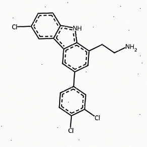 NCCc1cc(-c2ccc(Cl)c(Cl)c2)cc2c1[nH]c1ccc(Cl)cc12